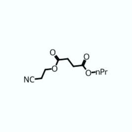 CCCOC(=O)CCC(=O)OCCC#N